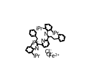 CC(C)c1cccc(C(C)C)c1N=C(CCc1ccccc1)c1cccc(C(CCc2ccccc2)=Nc2c(C(C)C)cccc2C(C)C)n1.[Cl-].[Cl-].[Fe+2]